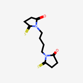 O=C1CCC(=S)N1CCCCN1C(=O)CCC1=S